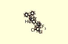 OC1(c2ccc(C3=NOC(c4cc(Cl)cc(Cl)c4)(C(F)(F)F)C3F)cc2Br)CN(C(c2ccccc2)c2ccccc2)C1